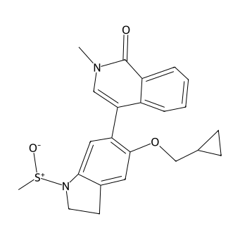 Cn1cc(-c2cc3c(cc2OCC2CC2)CCN3[S+](C)[O-])c2ccccc2c1=O